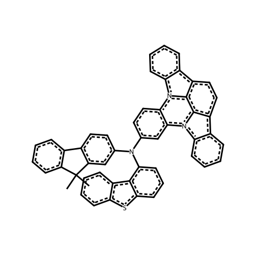 CC1(C)c2ccccc2-c2ccc(N(c3ccc4c(c3)n3c5ccccc5c5ccc6c7ccccc7n4c6c53)c3cccc4sc5ccccc5c34)cc21